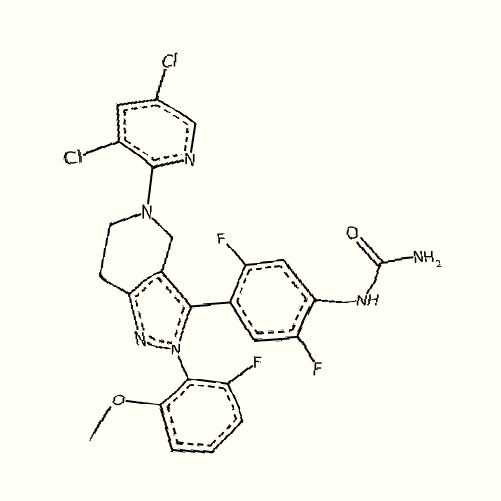 COc1cccc(F)c1-n1nc2c(c1-c1cc(F)c(NC(N)=O)cc1F)CN(c1ncc(Cl)cc1Cl)CC2